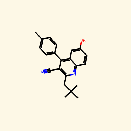 Cc1ccc(-c2c(C#N)c(CC(C)(C)C)nc3ccc(O)cc23)cc1